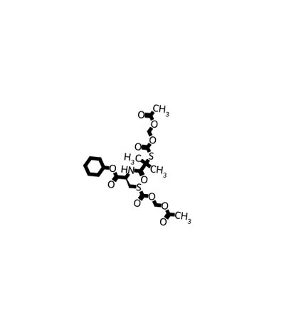 CC(=O)OCOC(=O)SC[C@H](NC(=O)C(C)(C)SC(=O)OCOC(C)=O)C(=O)OC1CCCCC1